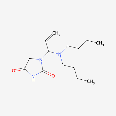 C=CC(N(CCCC)CCCC)N1CC(=O)NC1=O